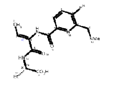 C/C=C(\NC(=O)c1ccc(F)c(CNC)n1)C(=O)N[C@@H](CC)C(=O)O